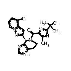 Cc1nc(C(C)(C)O)oc1C(=O)N1CCc2[nH]cnc2[C@H]1c1cc2c(Cl)cccn2n1